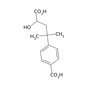 CC(C)(CC(O)C(=O)O)c1ccc(C(=O)O)cc1